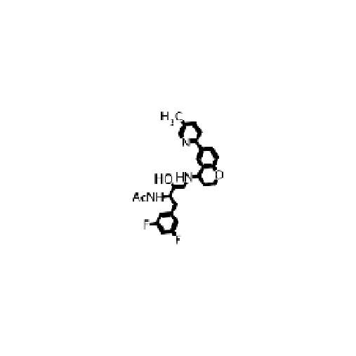 CC(=O)NC(Cc1cc(F)cc(F)c1)C(O)CNC1CCOc2ccc(-c3ccc(C)cn3)cc21